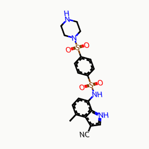 Cc1ccc(NS(=O)(=O)c2ccc(S(=O)(=O)N3CCNCC3)cc2)c2[nH]cc(C#N)c12